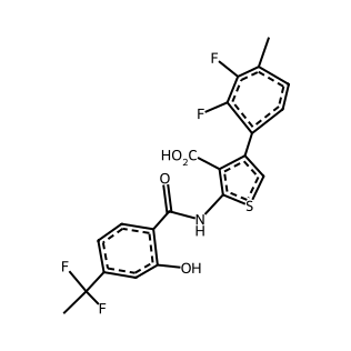 Cc1ccc(-c2csc(NC(=O)c3ccc(C(C)(F)F)cc3O)c2C(=O)O)c(F)c1F